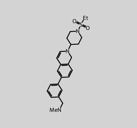 CCS(=O)(=O)N1CCC(N2C=Cc3cc(-c4cccc(CNC)c4)ccc3C2)CC1